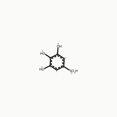 O=S(=O)(O)c1cc(O)c(O)c(O)c1